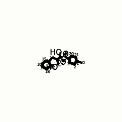 Cc1ccc(S(=O)(=O)C(O)C(CO)Cc2ccccc2)cc1